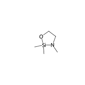 CN1CCO[Si]1(C)C